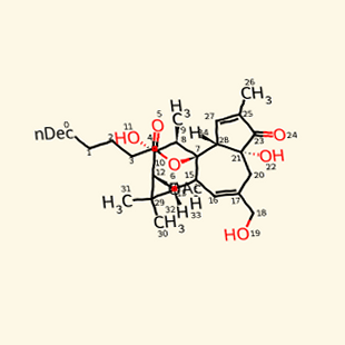 CCCCCCCCCCCCCC(=O)O[C@]12[C@H](C)[C@@H](O)[C@]3(OC(C)=O)[C@H]([C@@H]1C=C(CO)C[C@]1(O)C(=O)C(C)=C[C@@H]21)C3(C)C